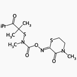 CC(C)C(=O)C(C)(C)SN(C)C(=O)ON=C1SCCN(C)C1=O